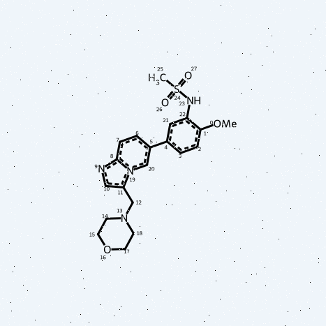 COc1ccc(-c2ccc3ncc(CN4CCOCC4)n3c2)cc1NS(C)(=O)=O